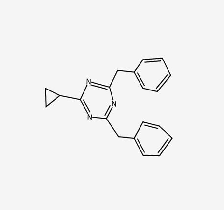 c1ccc(Cc2nc(Cc3ccccc3)nc(C3CC3)n2)cc1